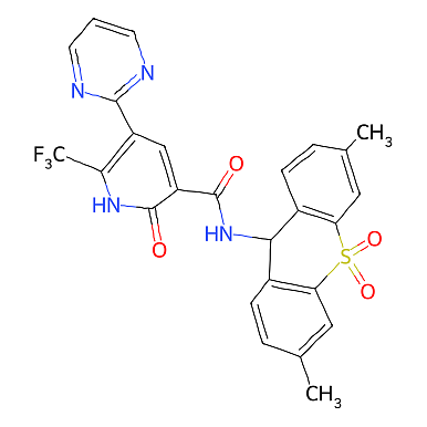 Cc1ccc2c(c1)S(=O)(=O)c1cc(C)ccc1C2NC(=O)c1cc(-c2ncccn2)c(C(F)(F)F)[nH]c1=O